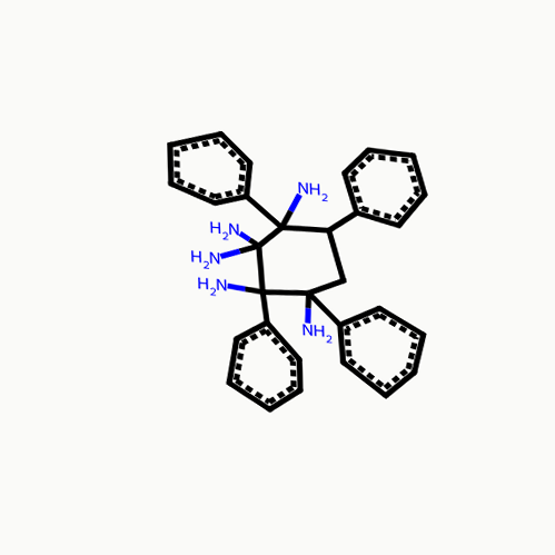 NC1(c2ccccc2)CC(c2ccccc2)C(N)(c2ccccc2)C(N)(N)C1(N)c1ccccc1